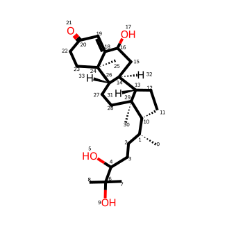 C[C@H](CCC(O)C(C)(C)O)[C@H]1CC[C@H]2[C@@H]3CC(O)C4=CC(=O)CC[C@]4(C)[C@H]3CC[C@]12C